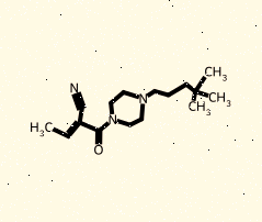 C/C=C(\C#N)C(=O)N1CCN(CCCC(C)(C)C)CC1